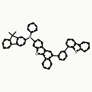 CC1(C)c2ccccc2-c2ccc(N(c3ccccc3)c3ccc4c(c3)oc3c5ccccc5c(-c5cccc(-c6cccc7c6sc6ccccc67)c5)cc43)cc21